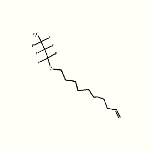 C=CCCCCCCCCOC(F)(F)C(F)(F)C(F)(F)C(F)(F)F